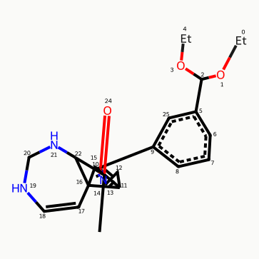 CCOC(OCC)c1cccc(C2=C3C=CN=CC34C=CNCNC4C2=O)c1